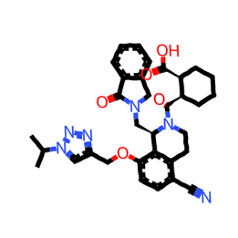 CC(C)n1cc(COc2ccc(C#N)c3c2[C@@H](CN2Cc4ccccc4C2=O)N(C(=O)[C@@H]2CCCC[C@@H]2C(=O)O)CC3)nn1